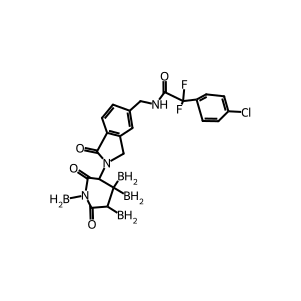 BC1C(=O)N(B)C(=O)C(N2Cc3cc(CNC(=O)C(F)(F)c4ccc(Cl)cc4)ccc3C2=O)C1(B)B